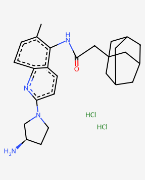 Cc1ccc2nc(N3CC[C@@H](N)C3)ccc2c1NC(=O)CC12CC3CC(CC(C3)C1)C2.Cl.Cl